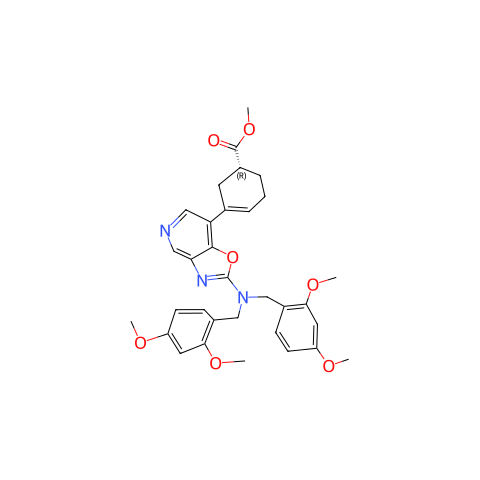 COC(=O)[C@@H]1CCC=C(c2cncc3nc(N(Cc4ccc(OC)cc4OC)Cc4ccc(OC)cc4OC)oc23)C1